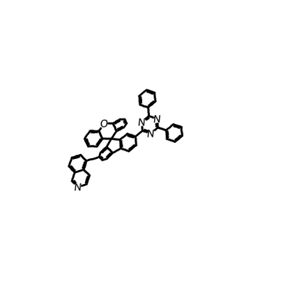 c1ccc(-c2nc(-c3ccccc3)nc(-c3ccc4c(c3)C3(c5ccccc5Oc5ccccc53)c3cc(-c5cccc6cnccc56)ccc3-4)n2)cc1